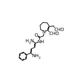 N/C(=C\C=C(/N)NC(=O)CN1CCCCC(CC=O)=C1C=O)c1ccccc1